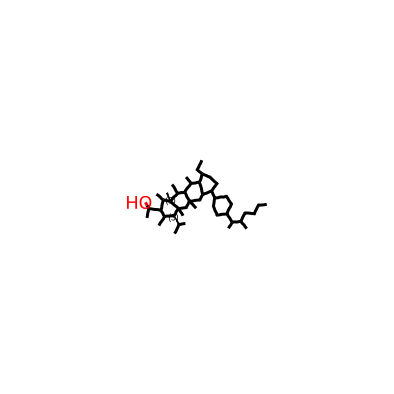 CCCCC(C)C(C)C1CCC(C2CCC(CC)C3C(C)C4C(C)[C@@]5(C)C(C)C(C(C)O)C(C)[C@H](C(C)C)C5(C)CC4(C)CC23)CC1